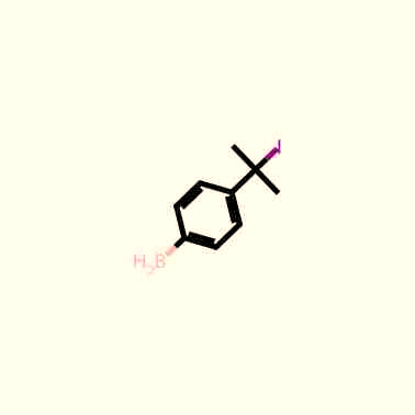 Bc1ccc(C(C)(C)I)cc1